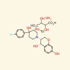 CCO.O.O=C(O)C(O)C(O)C(=O)O.Oc1ccc2c(c1)OC[C@@H](N1CCC(O)(c3ccc(F)cc3)CC1)[C@H]2O